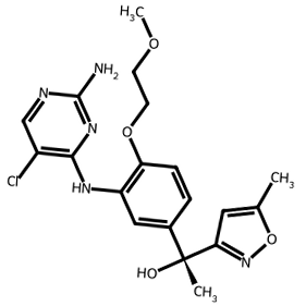 COCCOc1ccc([C@@](C)(O)c2cc(C)on2)cc1Nc1nc(N)ncc1Cl